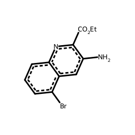 CCOC(=O)c1nc2cccc(Br)c2cc1N